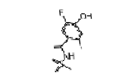 C=C(NS(=C)(=C)C)c1cc(F)c(O)cc1C